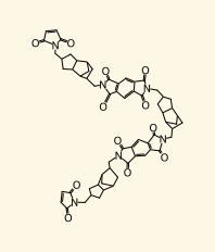 O=C1C=CC(=O)N1CC1CC2C3CC(Cn4c(=O)c5cc6c(=O)n(CC7CC8C9CC(Cn%10c(=O)c%11cc%12c(=O)n(CC%13CC%14CC%13C%13CC(CN%15C(=O)C=CC%15=O)CC%14%13)c(=O)c%12cc%11c%10=O)C(C9)C8C7)c(=O)c6cc5c4=O)C(C3)C2C1